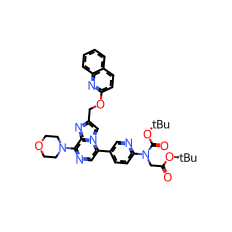 CC(C)(C)OC(=O)CN(C(=O)OC(C)(C)C)c1ccc(-c2cnc(N3CCOCC3)c3nc(COc4ccc5ccccc5n4)cn23)cn1